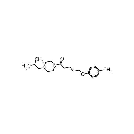 Cc1ccc(OCCCCC(=O)N2CCN(CC(C)C)CC2)cc1